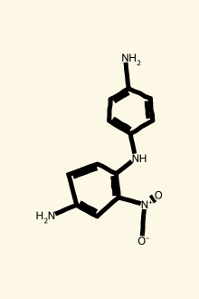 Nc1ccc(Nc2ccc(N)cc2[N+](=O)[O-])cc1